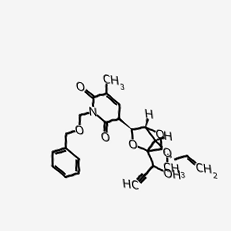 C#CC(O)C12O[C@@H](C3C=C(C)C(=O)N(COCc4ccccc4)C3=O)[C@H](O[C@@H]1CC=C)[C@@H]2OC